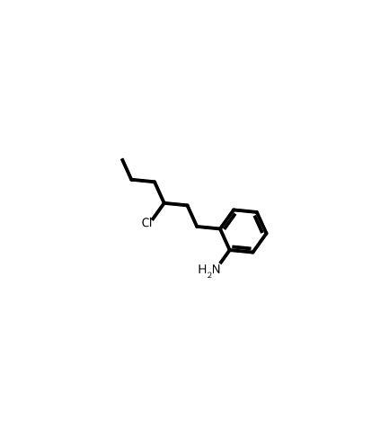 CCCC(Cl)CCc1ccccc1N